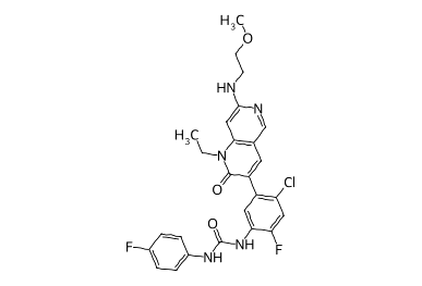 CCn1c(=O)c(-c2cc(NC(=O)Nc3ccc(F)cc3)c(F)cc2Cl)cc2cnc(NCCOC)cc21